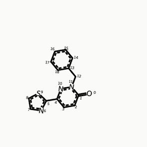 O=c1ccc(-c2nccs2)nn1Cc1c[c]ccc1